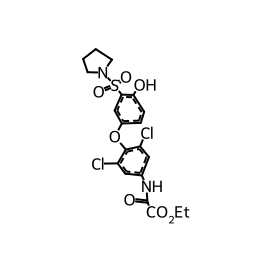 CCOC(=O)C(=O)Nc1cc(Cl)c(Oc2ccc(O)c(S(=O)(=O)N3CCCC3)c2)c(Cl)c1